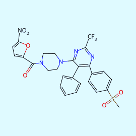 CS(=O)(=O)c1ccc(-c2nc(C(F)(F)F)nc(N3CCN(C(=O)c4ccc([N+](=O)[O-])o4)CC3)c2-c2ccccc2)cc1